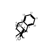 CC1(C)CC2NC(=O)C1c1ccccc12